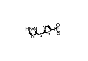 O=[N+]([O-])c1cnc(Sc2nc[nH]n2)s1